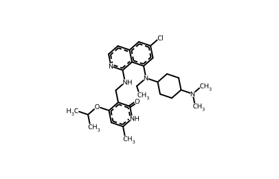 CCN(c1cc(Cl)cc2ccnc(NCc3c(OC(C)C)cc(C)[nH]c3=O)c12)C1CCC(N(C)C)CC1